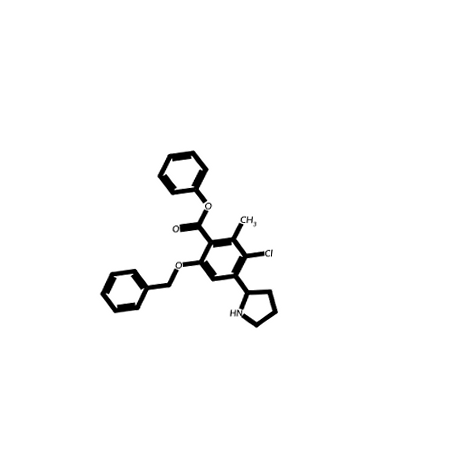 Cc1c(Cl)c(C2CCCN2)cc(OCc2ccccc2)c1C(=O)Oc1ccccc1